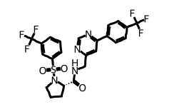 O=C(NCc1cc(-c2ccc(C(F)(F)F)cc2)ncn1)[C@@H]1CCCN1S(=O)(=O)c1cccc(C(F)(F)F)c1